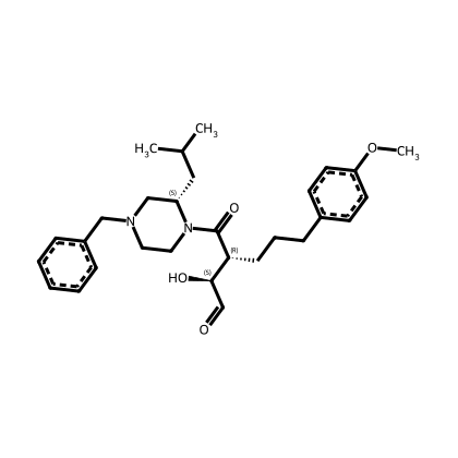 COc1ccc(CCC[C@@H](C(=O)N2CCN(Cc3ccccc3)C[C@@H]2CC(C)C)[C@H](O)C=O)cc1